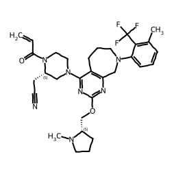 C=CC(=O)N1CCN(c2nc(OC[C@@H]3CCCN3C)nc3c2CCCN(c2cccc(C)c2C(F)(F)F)C3)C[C@@H]1CC#N